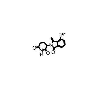 C=C1c2c(cccc2C(C)C)C(=O)N1C1CCC(=O)NC1=O